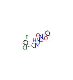 O=C1CC(CN2CCC(Cc3cc(F)ccc3Cl)CC2)NC(=O)N1Cc1ccccc1